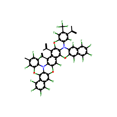 C=C(C)c1c(F)c(N(c2c(F)c(F)c3c(F)c(F)c(F)c(F)c3c2F)c2c(F)c(C(=C)C)c3c(C(=C)C)c(N(c4c(F)c(F)c(C)c(F)c4F)c4c(F)c(F)c5c(F)c(F)c(F)c(F)c5c4F)c(F)c(F)c3c2F)c(F)c(F)c1C(F)(F)F